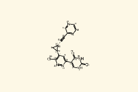 O=c1[nH]cc(-c2cc([C@H]3C[C@@H]3C#Cc3cccnc3)c(Cl)nn2)c(=O)[nH]1